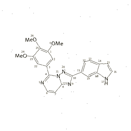 COc1cc(-c2nccc3nc(-c4ccc5cc[nH]c5c4)nn23)cc(OC)c1OC